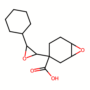 O=C(O)C1(C2OC2C2CCCCC2)CCC2OC2C1